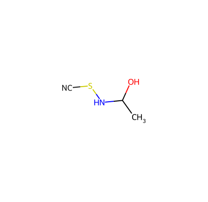 CC(O)NSC#N